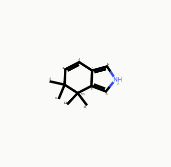 CC1(C)C=Cc2c[nH]cc2C1(C)C